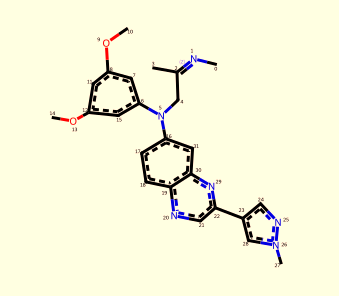 C/N=C(/C)CN(c1cc(OC)cc(OC)c1)c1ccc2ncc(-c3cnn(C)c3)nc2c1